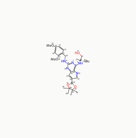 CCCC[C@](C)(CO)Nc1nc(NCc2ccc(OC)cc2OC)nc2cc(B3OC(C)(C)C(C)(C)O3)cnc12